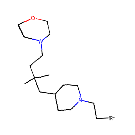 CC(C)CCN1CCC(CC(C)(C)CCN2CCOCC2)CC1